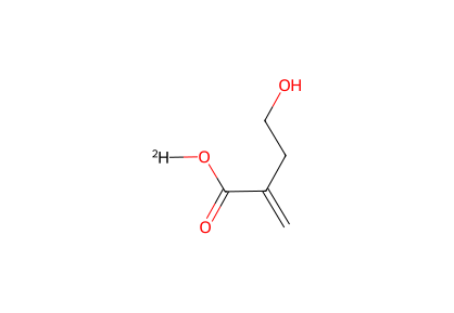 [2H]OC(=O)C(=C)CCO